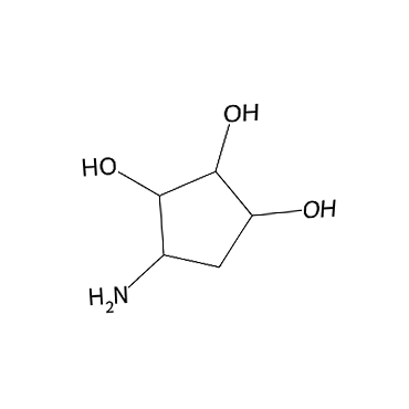 NC1CC(O)C(O)C1O